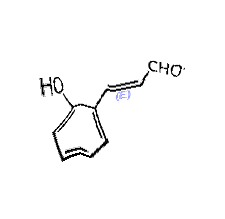 O=[C]/C=C/c1ccccc1O